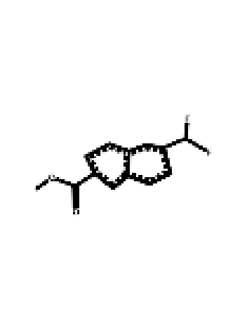 COC(=O)c1ccc2cc([C](F)F)ccc2c1